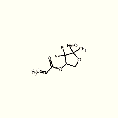 C=CC(=O)OC1COC(OC)(C(F)(F)F)C1(F)F